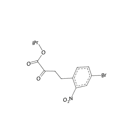 CC(C)OC(=O)C(=O)CCc1ccc(Br)cc1[N+](=O)[O-]